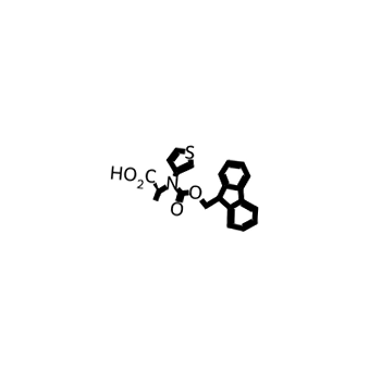 C[C@@H](C(=O)O)N(C(=O)OCC1c2ccccc2-c2ccccc21)c1ccsc1